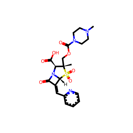 CN1CCN(C(=O)OC[C@@]2(C)[C@H](C(=O)O)N3C(=O)/C(=C/c4ccccn4)[C@H]3S2(=O)=O)CC1